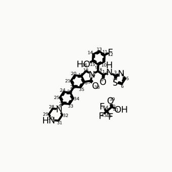 O=C(Nc1nccs1)C(c1cc(F)ccc1O)N1Cc2ccc(-c3ccc(N4CCNCC4)cc3)cc2C1=O.O=C(O)C(F)(F)F